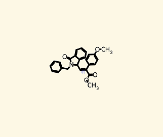 COC(=O)/C(=C/C1c2ccccc2C(=O)N1Cc1ccccc1)c1ccc(OC)cc1